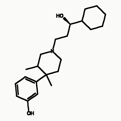 CC1CN(CC[C@@H](O)C2CCCCC2)CCC1(C)c1cccc(O)c1